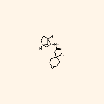 C=C(N[C@H]1C[C@@H]2CC[C@H]1C2)SC1(C(C)=O)CCOCC1